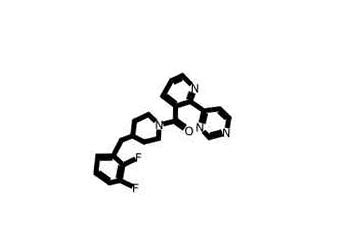 O=C(c1cccnc1-c1ccncn1)N1CCC(Cc2cccc(F)c2F)CC1